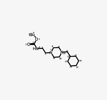 CC(C)(C)OC(=O)NCCN1CCN(CC2CCCCC2)CC1